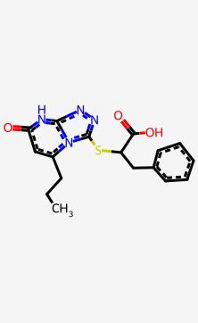 CCCc1cc(=O)[nH]c2nnc(SC(Cc3ccccc3)C(=O)O)n12